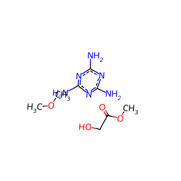 COC.COC(=O)CO.Nc1nc(N)nc(N)n1